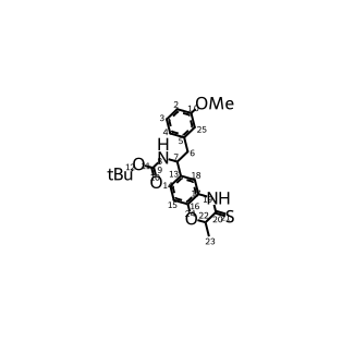 COc1cccc(CC(NC(=O)OC(C)(C)C)c2ccc3c(c2)NC(=S)C(C)O3)c1